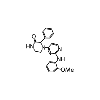 COc1ccccc1Nc1nccc(N2CCNC(=O)C2c2ccccc2)n1